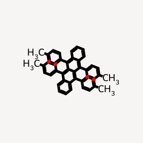 Cc1ccc(-c2c3ccccc3c(-c3ccc(C)cc3)c3c(-c4ccc(C)cc4)c4ccccc4c(-c4ccc(C)cc4)c23)cc1